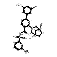 CC(C)COc1cc(F)cc(-c2ccc(C(=O)NS(=O)(=O)c3cccc(N)n3)c(N3C[C@@H]4CC[C@@H](C4)C3)n2)c1